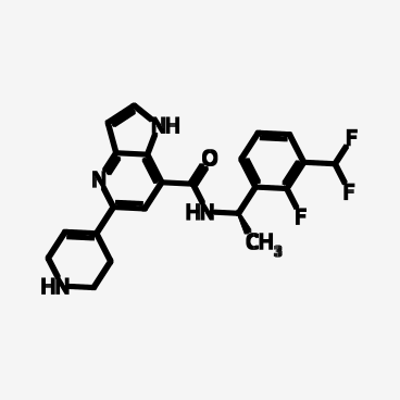 C[C@@H](NC(=O)c1cc(C2=CCNCC2)nc2cc[nH]c12)c1cccc(C(F)F)c1F